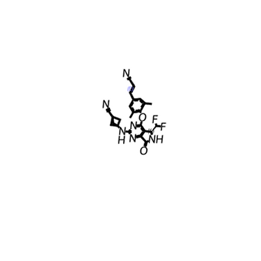 Cc1cc(/C=C/C#N)cc(C)c1Oc1nc(NC23CC(C#N)(C2)C3)nc2c1[C@@H](C(F)F)NC2=O